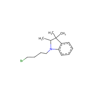 CC1N(CCCCBr)c2ccccc2C1(C)C